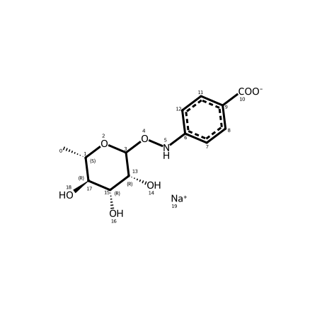 C[C@@H]1OC(ONc2ccc(C(=O)[O-])cc2)[C@H](O)[C@H](O)[C@H]1O.[Na+]